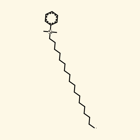 [CH2]CCCCCCCCCCCCCCCCC[Si](C)(C)c1ccccc1